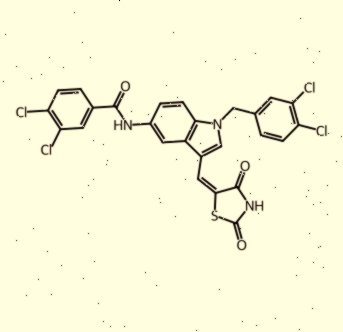 O=C1NC(=O)/C(=C\c2cn(Cc3ccc(Cl)c(Cl)c3)c3ccc(NC(=O)c4ccc(Cl)c(Cl)c4)cc23)S1